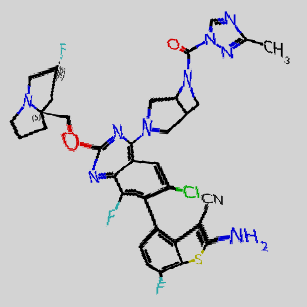 Cc1ncn(C(=O)N2CC3CN(c4nc(OC[C@@]56CCCN5C[C@H](F)C6)nc5c(F)c(-c6ccc(F)c7sc(N)c(C#N)c67)c(Cl)cc45)CC32)n1